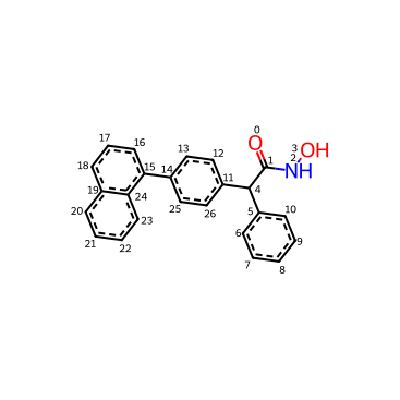 O=C(NO)C(c1ccccc1)c1ccc(-c2cccc3ccccc23)cc1